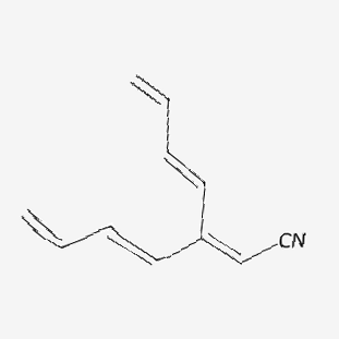 C=CC=CC(C=CC=C)=CC#N